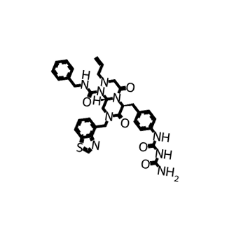 C=CCN1CC(=O)N2[C@@H](Cc3ccc(NC(=O)NC(N)=O)cc3)C(=O)N(Cc3cccc4scnc34)C[C@@H]2N1C(=O)NCc1ccccc1